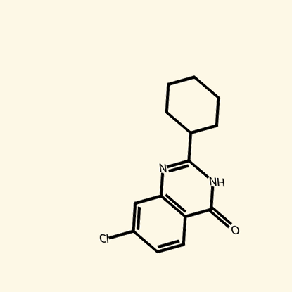 O=c1[nH]c(C2CCCCC2)nc2cc(Cl)ccc12